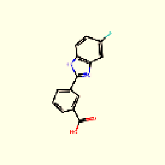 O=C(O)c1cccc(-c2nc3cc(F)ccc3[nH]2)c1